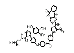 CCOc1cc(N2CCC(C(=O)N3CCN(Cc4ccc(-n5c(C(=O)NCCN(CC)CC)nnc5-c5cc(C(C)C)c(O)cc5O)cc4)CC3)CC2)ccc1Nc1ncc2c(n1)N(C)c1ccccc1C(=O)N2C